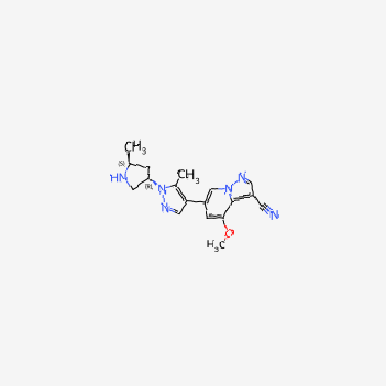 COc1cc(-c2cnn([C@H]3CN[C@@H](C)C3)c2C)cn2ncc(C#N)c12